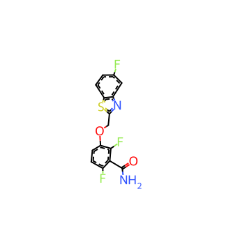 NC(=O)c1c(F)ccc(OCc2nc3cc(F)ccc3s2)c1F